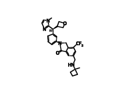 Cn1ccnc1[C@H](c1cccc(N2Cc3c(cc(CNC4(C)CCC4)cc3C(F)(F)F)C2=O)c1)C1COC1